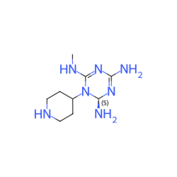 CNC1=NC(N)=N[C@@H](N)N1C1CCNCC1